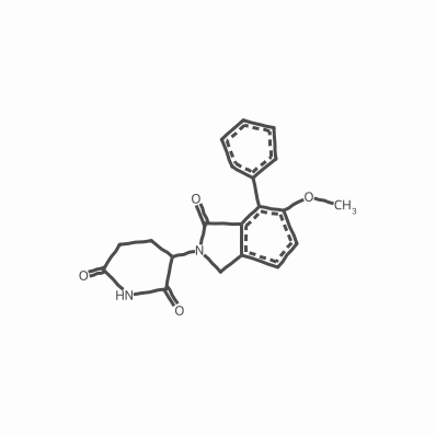 COc1ccc2c(c1-c1ccccc1)C(=O)N(C1CCC(=O)NC1=O)C2